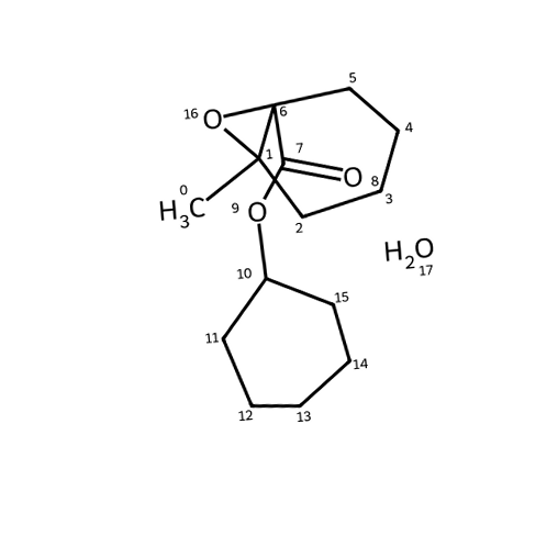 CC12CCCCC1(C(=O)OC1CCCCC1)O2.O